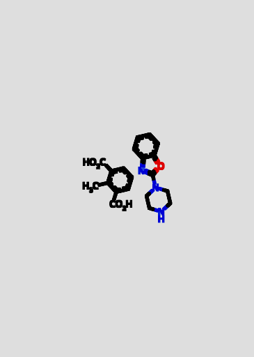 Cc1c(C(=O)O)cccc1C(=O)O.c1ccc2oc(N3CCNCC3)nc2c1